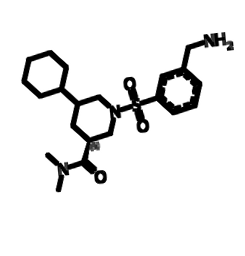 CN(C)C(=O)[C@H]1CC(C2CCCCC2)CN(S(=O)(=O)c2cccc(CN)c2)C1